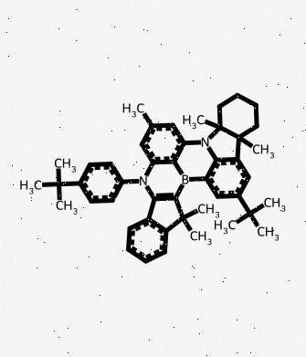 Cc1cc2c3c(c1)N1c4c(cc(C(C)(C)C)cc4C4(C)CCCCC14C)B3C1=C(c3ccccc3C1(C)C)N2c1ccc(C(C)(C)C)cc1